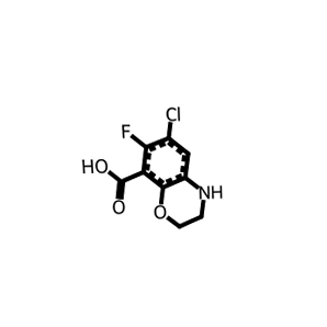 O=C(O)c1c(F)c(Cl)cc2c1OCCN2